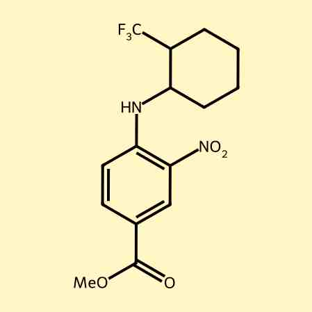 COC(=O)c1ccc(NC2CCCCC2C(F)(F)F)c([N+](=O)[O-])c1